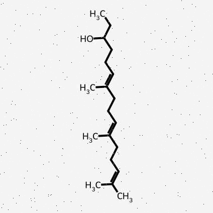 CCC(O)CC/C=C(\C)CC/C=C(\C)CCC=C(C)C